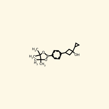 CC1(C)OB(c2ccc([C]3CC(O)(C4CC4)C3)cc2)OC1(C)C